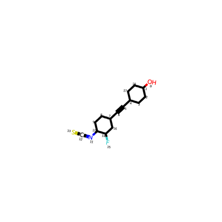 OC1CCC(C#CC2CCC(N=C=S)C(F)C2)CC1